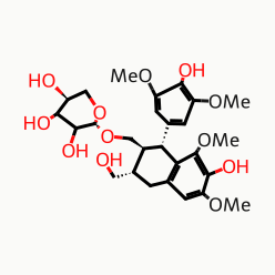 COc1cc([C@@H]2c3c(cc(OC)c(O)c3OC)C[C@H](CO)[C@H]2CO[C@H]2OC[C@H](O)C(O)C2O)cc(OC)c1O